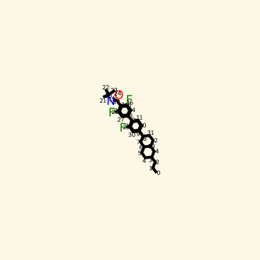 CCCC1CCC2CC(c3ccc(-c4cc(F)c(C5=NC(C)(C)CO5)c(F)c4)c(F)c3)CCC2C1